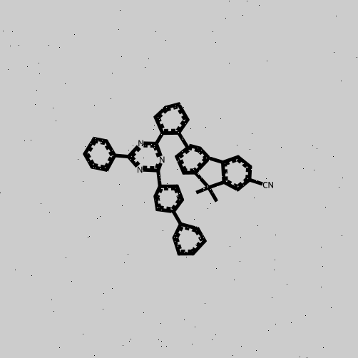 CC1(C)c2ccc(-c3ccccc3-c3nc(-c4ccccc4)nc(-c4ccc(-c5ccccc5)cc4)n3)cc2-c2ccc(C#N)cc21